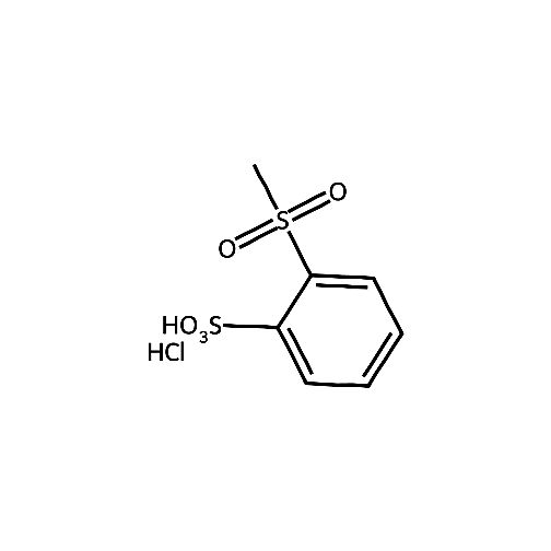 CS(=O)(=O)c1ccccc1S(=O)(=O)O.Cl